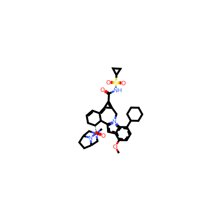 COc1ccc(C2CCCCC2)c2c1cc1n2CC2=C(C(=O)NS(=O)(=O)C3CC3)C2=C2C=CC[C@@H](C(=O)N3C4CCC3CN(C)C4)C21